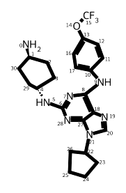 N[C@H]1CC[C@H](Nc2nc(Nc3ccc(OC(F)(F)F)cc3)c3ncn(C4CCCC4)c3n2)CC1